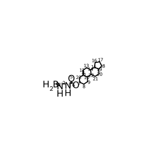 BNCNC(=O)OC1CCC2C(=CCC3C4CCCC4CCC23)C1